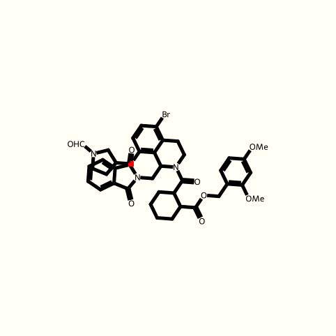 COc1ccc(COC(=O)C2CCCCC2C(=O)N2CCc3c(Br)ccc(OC4CCN(C=O)C4)c3C2CN2C(=O)c3ccccc3C2=O)c(OC)c1